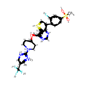 CS(=O)(=O)c1ccc(-c2csc3c(OC4CCN(c5ncc(C(F)(F)F)cn5)CC4)ncnc23)c(F)c1